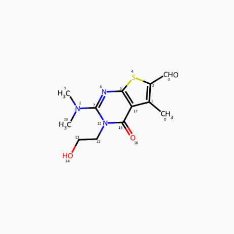 Cc1c(C=O)sc2nc(N(C)C)n(CCO)c(=O)c12